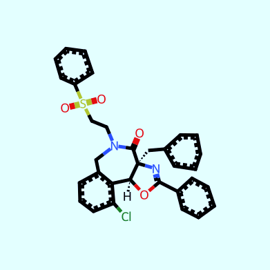 O=C1N(CCS(=O)(=O)c2ccccc2)Cc2cccc(Cl)c2[C@@H]2OC(c3ccccc3)=N[C@]12Cc1ccccc1